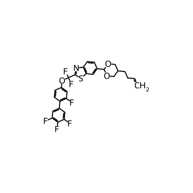 C=CCCC1COC(c2ccc3nc(C(F)(F)Oc4ccc(-c5cc(F)c(F)c(F)c5)c(F)c4)sc3c2)OC1